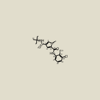 Cn1cc([S+]([O-])NC(C)(C)C)cc1C(=O)Nc1cccc(Cl)c1F